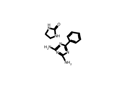 Nc1nc(N)nc(-c2ccccc2)n1.O=C1NCCN1